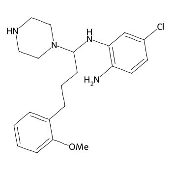 COc1ccccc1CCCC(Nc1cc(Cl)ccc1N)N1CCNCC1